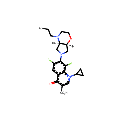 CC(=O)CCN1CCO[C@H]2CN(c3c(F)cc4c(=O)c(C(=O)O)cn(C5CC5)c4c3F)C[C@H]21